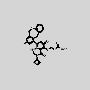 COC(=O)OCOc1c2n(c(-c3cc(F)cc4c3Cc3ccccc3SC4)cc1=O)NCN(C13CC(C1)C3)C2=O